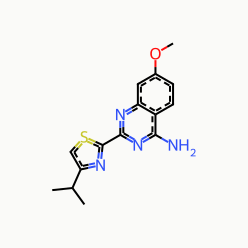 COc1ccc2c(N)nc(-c3nc(C(C)C)cs3)nc2c1